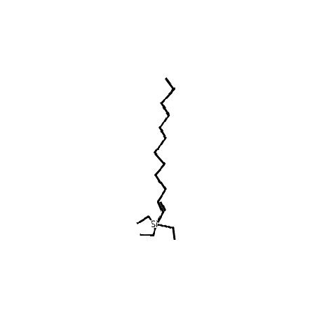 CCCCCCCCCCC=C[Si](CC)(CC)CC